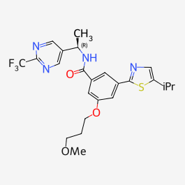 COCCCOc1cc(C(=O)N[C@H](C)c2cnc(C(F)(F)F)nc2)cc(-c2ncc(C(C)C)s2)c1